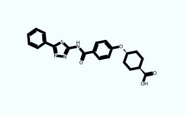 O=C(Nc1nnc(-c2ccccc2)s1)c1ccc(O[C@H]2CC[C@H](C(=O)O)CC2)cc1